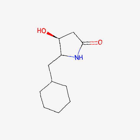 O=C1C[C@H](O)C(CC2CCCCC2)N1